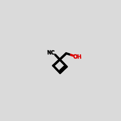 N#CC1(CO)C=CC1